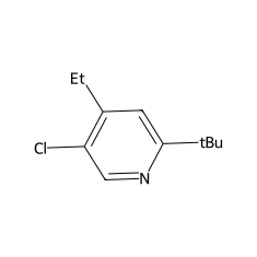 CCc1cc(C(C)(C)C)ncc1Cl